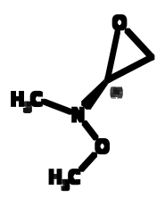 CON(C)[C@@H]1CO1